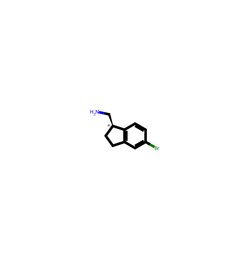 NC[C@@H]1CCc2cc(Br)ccc21